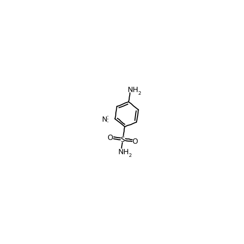 Nc1ccc(S(N)(=O)=O)cc1.[N]